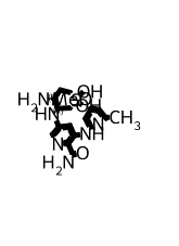 COc1cc(C)nc(Nc2cc(N[C@H]3CS(O)(O)CC[C@H]3N)cnc2C(N)=O)c1